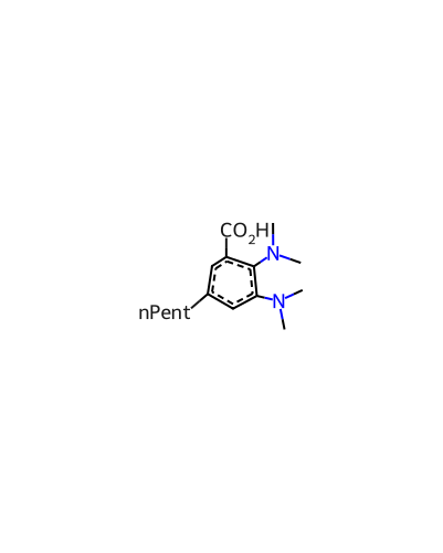 CCCCCc1cc(C(=O)O)c(N(C)C)c(N(C)C)c1